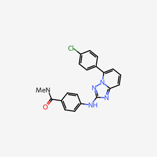 CNC(=O)c1ccc(Nc2nc3cccc(-c4ccc(Cl)cc4)n3n2)cc1